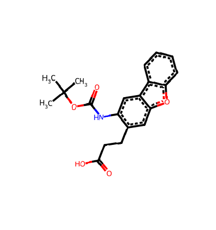 CC(C)(C)OC(=O)Nc1cc2c(cc1CCC(=O)O)oc1ccccc12